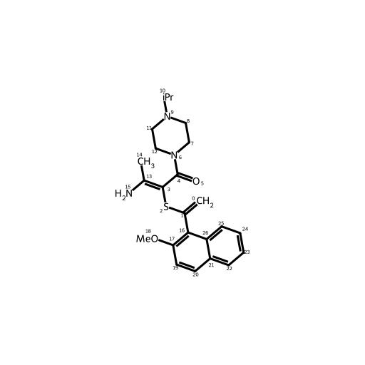 C=C(S/C(C(=O)N1CCN(C(C)C)CC1)=C(/C)N)c1c(OC)ccc2ccccc12